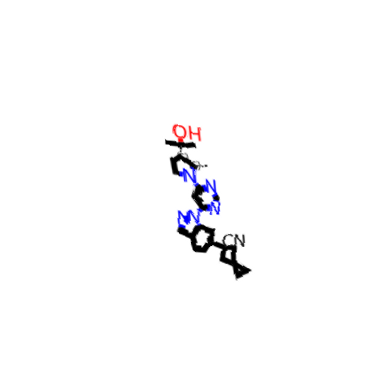 C[C@H]1[C@@H](C(C)(C)O)CCN1c1cc(-n2ncc3ccc(C4(C#N)CC5(CC5)C4)cc32)ncn1